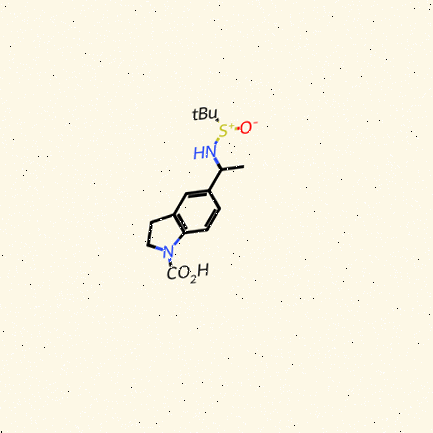 CC(N[S@@+]([O-])C(C)(C)C)c1ccc2c(c1)CCN2C(=O)O